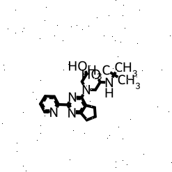 CC(C)(C)NC(O)CN(CCO)c1nc(-c2ccccn2)nc2c1CCC2